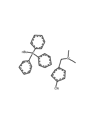 CCCC[B-](c1ccccc1)(c1ccccc1)c1ccccc1.C[S+](C)Cc1ccc(C#N)cc1